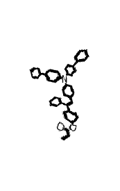 C=CC(=O)Oc1ccc(C(=Cc2ccc(N(c3ccc(-c4ccccc4)cc3)c3ccc(-c4ccccc4)cc3)cc2)c2ccccc2)cc1